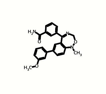 COc1cccc(-c2ccc3c(c2)C(c2cccc(C(N)=O)c2)=NCON3C)c1